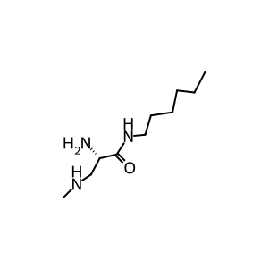 CCCCCCNC(=O)[C@@H](N)CNC